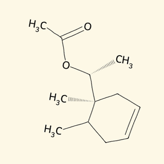 CC(=O)O[C@H](C)[C@@]1(C)CC=CCC1C